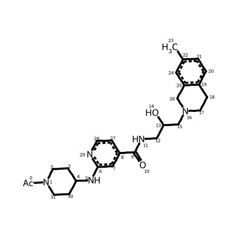 CC(=O)N1CCC(Nc2cc(C(=O)NCC(O)CN3CCc4ccc(C)cc4C3)ccn2)CC1